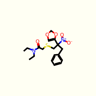 CCN(CC)C(=O)CSCC(Cc1ccccc1)(C1=COCO1)[N+](=O)[O-]